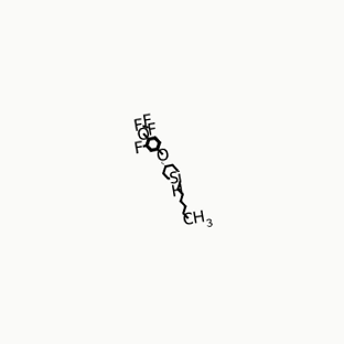 CCCCCCC[Si@H]1CC[C@H](COc2ccc(OC(F)(F)F)c(F)c2)CC1